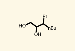 CCCCC(CC)C(O)CO